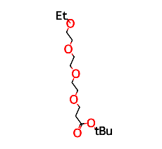 CCOCCOCCOCCOCCC(=O)OC(C)(C)C